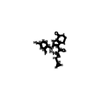 O=C1CCCc2c1sc(Nc1ccc(I)cc1F)c2C(=O)NOCC1CC1